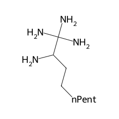 CCCCCCCC(N)C(N)(N)N